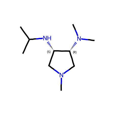 CC(C)N[C@H]1CN(C)C[C@H]1N(C)C